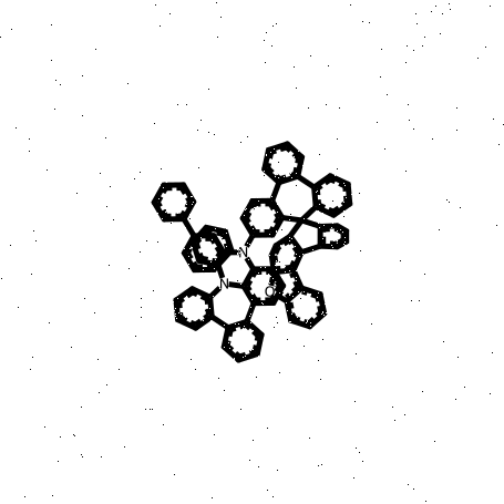 c1ccc(-c2cccc(N(c3ccc4c(c3)C3(c5ccccc5-c5ccccc5-4)c4ccccc4-c4c3ccc3oc5ccccc5c43)c3cccc4c3N(c3ccccc3)c3ccccc3-c3ccccc3-4)c2)cc1